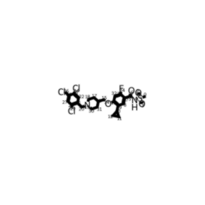 CS(=O)(=O)NC(=O)c1cc(C2CC2)c(OCC2CCN(Cc3cc(Cl)c(Cl)cc3Cl)CC2)cc1F